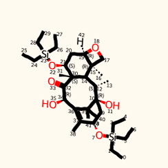 CC[Si](CC)(CC)O[C@H]1C[C@@]2(O)[C@@H](C)C3[C@]4(C)CO[C@@H]4C[C@H](O[Si](CC)(CC)CC)[C@@]3(C)C(=O)[C@H](O)C(=C1C)C2(C)C